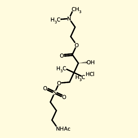 CC(=O)NCCCS(=O)(=O)OCC(C)(C)[C@@H](O)C(=O)OCCN(C)C.Cl